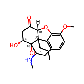 CCC[C@]12c3c4ccc(OC)c3O[C@H]1C(=O)C[C@H](O)[C@@]2(O)[C@H](NC)C4